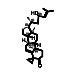 CC(C)=C[C@H](O)C[C@@H](C)[C@H]1CC[C@H]2[C@@H]3CC=C4C5(CC5)C(=O)CC[C@]4(C)[C@H]3CC[C@]12C